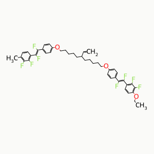 C=CC(CCCCCOc1ccc(/C(F)=C(\F)c2ccc(C)c(F)c2F)cc1)CCCCCOc1ccc(/C(F)=C(\F)c2ccc(OCC)c(F)c2F)cc1